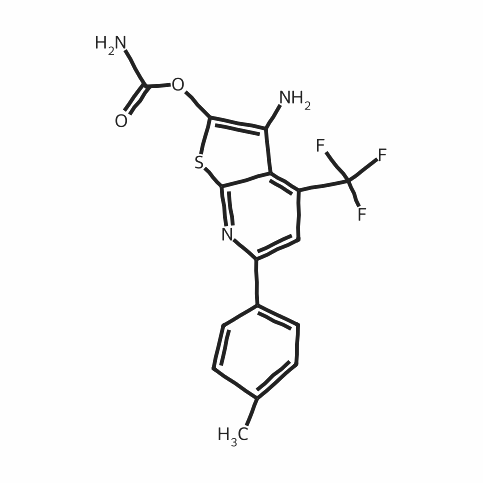 Cc1ccc(-c2cc(C(F)(F)F)c3c(N)c(OC(N)=O)sc3n2)cc1